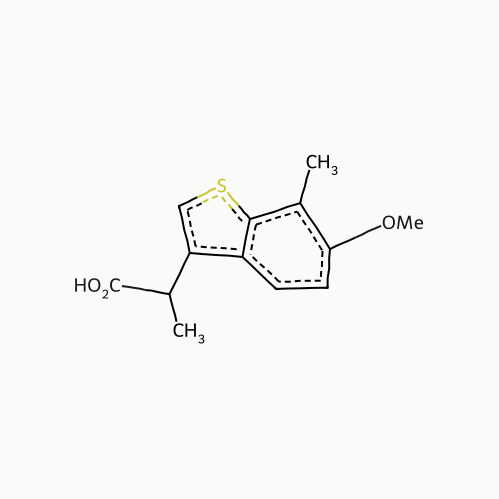 COc1ccc2c(C(C)C(=O)O)csc2c1C